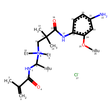 C=C(C)C(=O)NC(CCCC)[N+](CC)(CC)CC(C)(C)C(=O)Nc1ccc(N)cc1OCCCC.[Cl-]